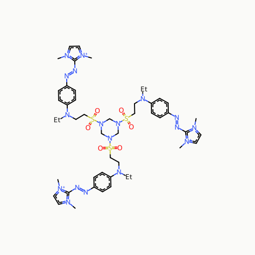 CCN(CCS(=O)(=O)N1CN(S(=O)(=O)CCN(CC)c2ccc(N=Nc3n(C)cc[n+]3C)cc2)CN(S(=O)(=O)CCN(CC)c2ccc(N=Nc3n(C)cc[n+]3C)cc2)C1)c1ccc(N=Nc2n(C)cc[n+]2C)cc1